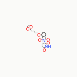 O=C1CCC(N2C(=O)c3cccc(OCCCCC4OCCO4)c3C2=O)C(=O)N1